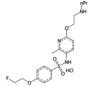 CCCNCCOc1ccc(NS(=O)(=O)c2ccc(OCCF)cc2)c(C)n1.Cl